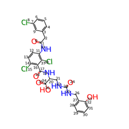 O=C(Cc1cccc(Cl)c1)Nc1ccc(Cl)c(C(=O)NC(CNC(=O)NCc2ccccc2O)C(=O)O)c1Cl